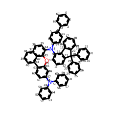 c1ccc(-c2ccc(N(c3cccc4c3-c3ccccc3C4(c3ccccc3)c3ccccc3)c3ccc4cccc5c4c3Oc3cc(N(c4ccccc4)c4ccccc4)ccc3-5)cc2)cc1